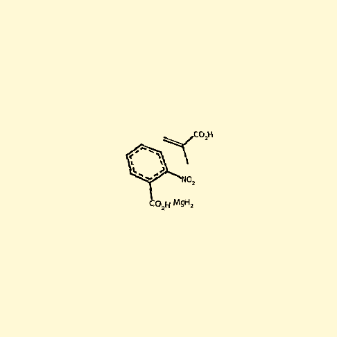 C=C(C)C(=O)O.O=C(O)c1ccccc1[N+](=O)[O-].[MgH2]